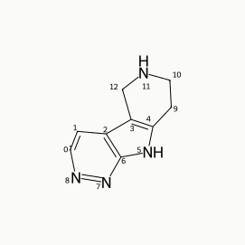 [c]1cc2c3c([nH]c2nn1)CCNC3